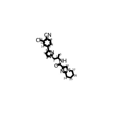 CC(Cn1ccc(-c2ccc(C#N)c(Cl)c2)n1)NC(=O)c1cn2c(n1)CCCC2